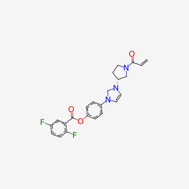 C=CC(=O)N1CC[C@@H](N2C=CN(c3ccc(OC(=O)c4cc(F)ccc4F)cc3)C2)C1